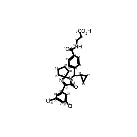 O=C(O)CCNC(=O)c1ccc([C@@H](C2CC2)N2C(=O)C(c3cc(Cl)cc(Cl)c3)=NC23CCCC3)cc1